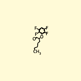 CCCCCC(C=O)Oc1c(F)c(F)cc(F)c1F